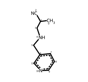 CC(C#N)CNCc1cccnc1